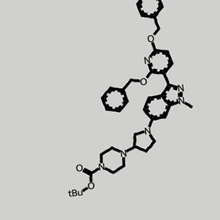 Cn1nc(-c2ccc(OCc3ccccc3)nc2OCc2ccccc2)c2ccc(N3CCC(N4CCN(C(=O)OC(C)(C)C)CC4)C3)cc21